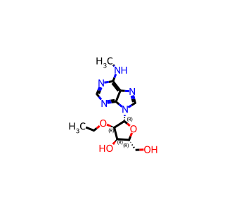 CCO[C@@H]1[C@H](O)[C@@H](CO)O[C@H]1n1cnc2c(NC)ncnc21